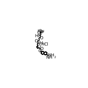 CC(C)(C)OC(=O)CNC(=O)CCC(=O)NCc1ccc(C(=O)Oc2ccc3cc(C(=N)N)ccc3c2)o1.Cl